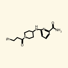 CC(C)CCC(=O)N1CCC(Nc2cc[c]c(C(N)=O)n2)CC1